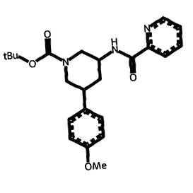 COc1ccc(C2CC(NC(=O)c3ccccn3)CN(C(=O)OC(C)(C)C)C2)cc1